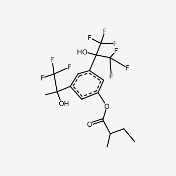 CCC(C)C(=O)Oc1cc(C(C)(O)C(F)(F)F)cc(C(O)(C(F)(F)F)C(F)(F)F)c1